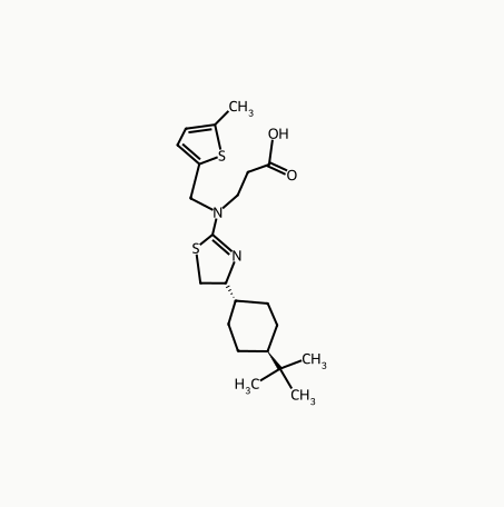 Cc1ccc(CN(CCC(=O)O)C2=NC([C@H]3CC[C@H](C(C)(C)C)CC3)CS2)s1